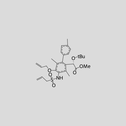 C=CCOc1c(C)c(-c2ccc(C)cc2)c([C@H](OC(C)(C)C)C(=O)OC)c(C)c1NS(=O)(=O)CC=C